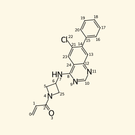 C=CC(=O)N1CC(Nc2ncnc3cc(-c4ccccc4)c(Cl)cc23)C1